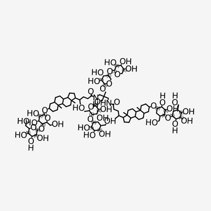 CC(CCC(=O)NCC(CNC(=O)CCC(C)C1CCC2C3CCC4CC(O[C@@H]5CC(CO)[C@@H](O[C@H]6CC(CO)[C@@H](O)[C@H](O)C6O)[C@H](O)C5O)CCC4(C)C3CCC12C)(CO[C@H]1OC[C@H](O[C@@H]2OC[C@H](O)C(O)[C@H]2O)C(O)[C@H]1O)CO[C@@H]1OC(CO)[C@@H](O[C@@H]2CC(CO)[C@@H](O)C(O)[C@@H]2O)C(O)[C@@H]1O)C1CCC2C3CCC4CC(O[C@H]5OC(CO)[C@H](O[C@@H]6OC(CO)[C@H](O)C(O)[C@H]6O)C(O)[C@H]5O)CCC4(C)C3CCC12C